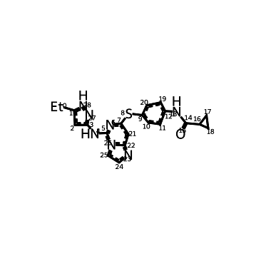 CCc1cc(Nc2nc(Sc3ccc(NC(=O)C4CC4)cc3)cc3nccn23)n[nH]1